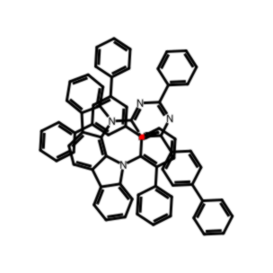 c1ccc(-c2ccc(-c3nc(-c4ccccc4)nc(-n4c5ccccc5c5ccc6c7ccccc7n(-c7c(-c8ccccc8)cccc7-c7cc(-c8ccccc8)cc(-c8ccccc8)c7)c6c54)n3)cc2)cc1